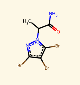 CC(C(N)=O)n1nc(Br)c(Br)c1Br